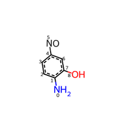 Nc1ccc(N=O)cc1O